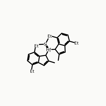 CCc1ccc(CC)c2c1C=C(C)[CH]2[Hf]([CH]1C(C)=Cc2c(CC)ccc(CC)c21)=[Si](C)C